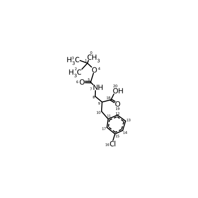 CC(C)(C)OC(=O)NCC(Cc1cccc(Cl)c1)C(=O)O